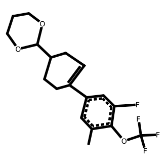 Cc1cc(C2=CCC(C3OCCCO3)CC2)cc(F)c1OC(F)(F)F